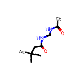 CCC(=O)NCNC(=O)CC(C)(C)C(C)=O